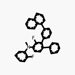 CN(c1ccccc1F)c1ccc(-c2ccccc2)c(-c2cccc(-c3cccc4ccccc34)c2)c1F